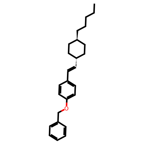 CCCCC[C@H]1CC[C@H](C=Cc2ccc(OCc3ccccc3)cc2)CC1